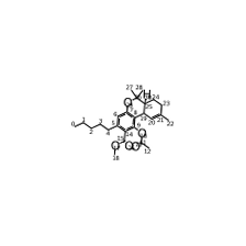 CCCCCc1cc2c(c(OC(C)=O)c1C(=O)OC)C1C=C(C)CC[C@H]1C(C)(C)O2